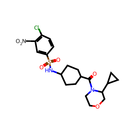 O=C(C1CCC(NS(=O)(=O)c2ccc(Cl)c([N+](=O)[O-])c2)CC1)N1CCOCC1C1CC1